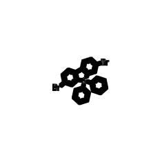 Brc1ccc2c(c1)S(c1ccccc1)(c1ccccc1)c1cc(Br)ccc1-2